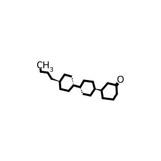 CCCC[C@H]1CC[C@H]([C@H]2CC[C@H](C3CCCC(=O)C3)CC2)CC1